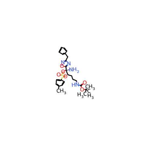 Cc1ccc(S(=O)(=O)O[C@@](N)(CCCCNC(=O)OC(C)(C)C)c2nc(Cc3ccccc3)no2)cc1